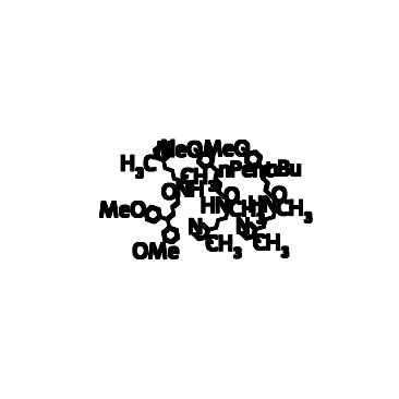 CCCC/C(=C\C=C\C(=O)N[C@H](C)CCCc1cnccc1C)c1ccc(OC)cc1.CCCCC/C(=C\C=C\C(=O)N[C@H](C)CCCc1cnccc1C)c1ccc(OC)cc1.COc1ccc(C(=C/C=C/C(=O)N[C@H](C)CCCc2cnccc2C)c2ccc(OC)cc2)cc1